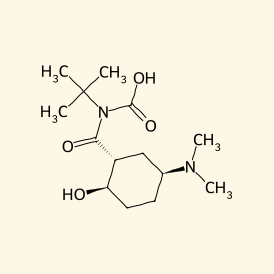 CN(C)[C@H]1CC[C@@H](O)[C@H](C(=O)N(C(=O)O)C(C)(C)C)C1